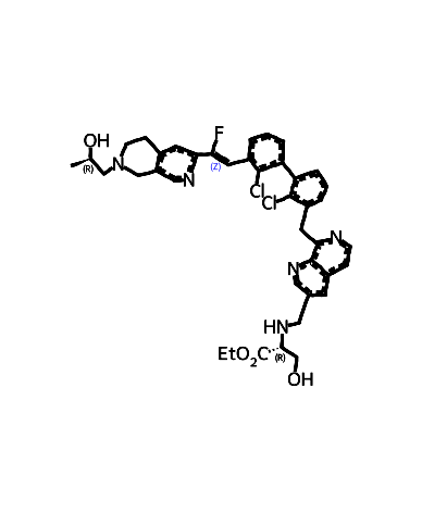 CCOC(=O)[C@@H](CO)NCc1cnc2c(Cc3cccc(-c4cccc(/C=C(\F)c5cc6c(cn5)CN(C[C@@H](C)O)CC6)c4Cl)c3Cl)nccc2c1